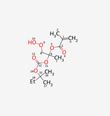 C=C(C)C(=O)OC(C)(COO)OC(=O)OC(C)(C)CC